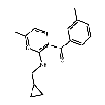 Cc1cccc(C(=O)c2ccc(C)nc2NCC2CC2)c1